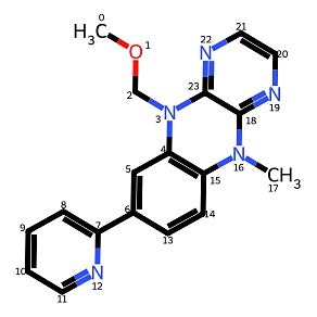 COCN1c2cc(-c3ccccn3)ccc2N(C)c2nccnc21